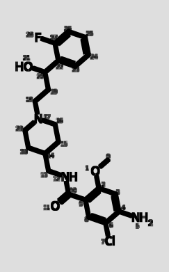 COc1cc(N)c(Cl)cc1C(=O)NCC1CCN(CCC(O)c2ccccc2F)CC1